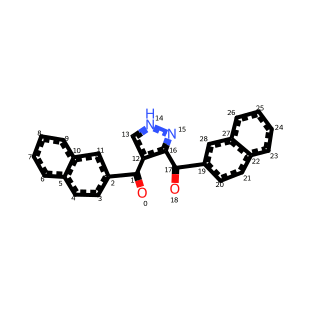 O=C(c1ccc2ccccc2c1)c1c[nH]nc1C(=O)c1ccc2ccccc2c1